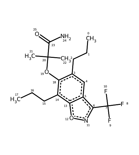 CCCc1cc2c(C(F)(F)F)noc2c(CCC)c1OC(C)(C)C(N)=O